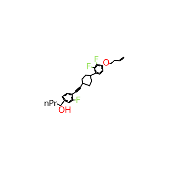 C=CCCOc1ccc(C2CCC(C#Cc3ccc(C(O)CCC)cc3F)CC2)c(F)c1F